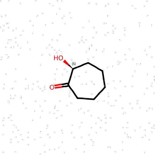 O=C1CCCCC[C@@H]1O